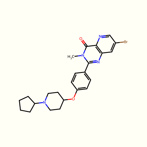 Cn1c(-c2ccc(OC3CCN(C4CCCC4)CC3)cc2)nc2cc(Br)cnc2c1=O